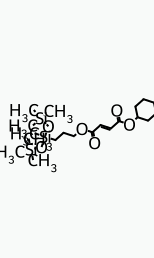 C[Si](C)(C)O[Si](C)(CCCOC(=O)/C=C/C(=O)OC1CCCCC1)O[Si](C)(C)C